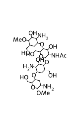 CO[C@@H]1OC(CO)C(OC2C[C@@H](CO)[C@@H](O[C@@H]3OC(CO)C(OC4C[C@@H](CO)[C@@H](OC)C(O)C4N)[C@@H](O)[C@@H]3NC(C)=O)C(O)C2N)C[C@@H]1N